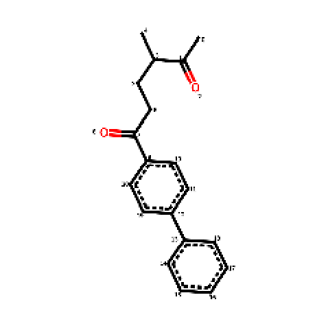 CC(=O)C(C)CCC(=O)c1ccc(-c2ccccc2)cc1